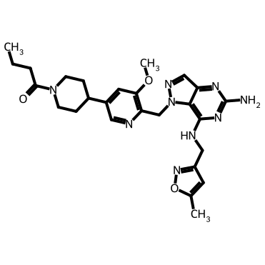 CCCC(=O)N1CCC(c2cnc(Cn3ncc4nc(N)nc(NCc5cc(C)on5)c43)c(OC)c2)CC1